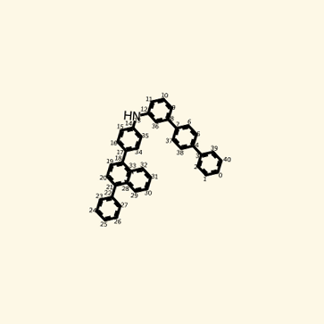 c1ccc(-c2ccc(-c3cccc(Nc4ccc(-c5ccc(-c6ccccc6)c6ccccc56)cc4)c3)cc2)cc1